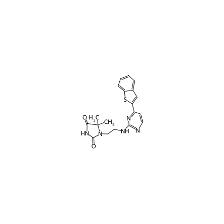 CC1(C)C(=O)NC(=O)N1CCNc1nccc(-c2cc3ccccc3s2)n1